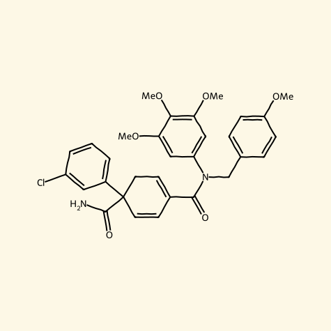 COc1ccc(CN(C(=O)C2=CCC(C(N)=O)(c3cccc(Cl)c3)C=C2)c2cc(OC)c(OC)c(OC)c2)cc1